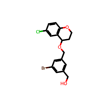 OCc1cc(Br)cc(COC2CCOc3ccc(Cl)cc32)c1